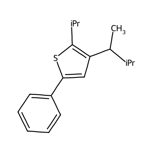 CC(C)c1sc(-c2ccccc2)cc1C(C)C(C)C